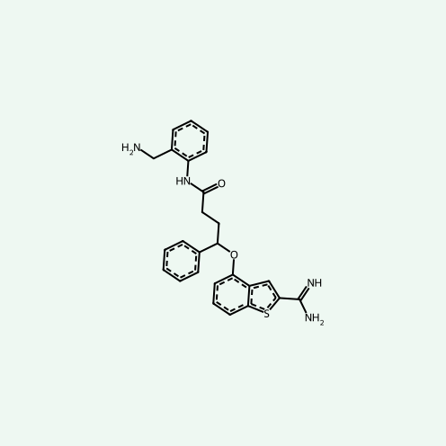 N=C(N)c1cc2c(OC(CCC(=O)Nc3ccccc3CN)c3ccccc3)cccc2s1